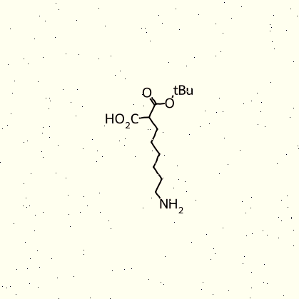 CC(C)(C)OC(=O)C(CCCCCCN)C(=O)O